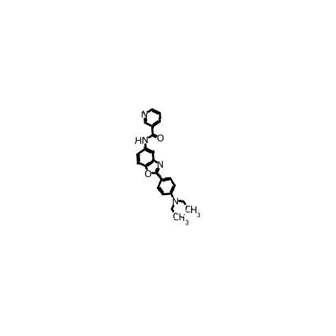 CCN(CC)c1ccc(-c2nc3cc(NC(=O)c4cccnc4)ccc3o2)cc1